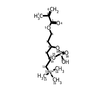 C=C(C)C(=O)OCCC(CCC[N+](C)(C)C)OP(=O)(O)O